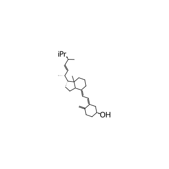 C=C1CC[C@H](O)C/C1=C/C=C1\CCCC2(C)C1CC[C@@H]2[C@H](C)/C=C/[C@H](C)C(C)C